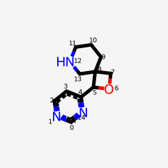 [c]1nccc(C2OCC23CCCNC3)n1